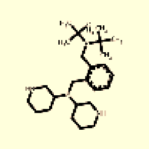 CC(C)(C)P(Cc1ccccc1CP(C1CCCNC1)C1CCCNC1)C(C)(C)C